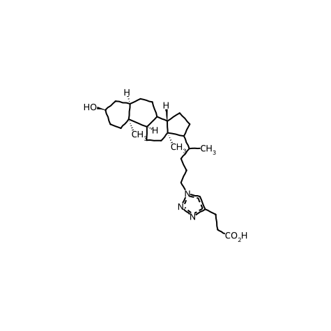 CC(CCCn1cc(CCC(=O)O)nn1)C1CC[C@H]2C3CC[C@@H]4C[C@H](O)CC[C@]4(C)[C@@H]3CC[C@]12C